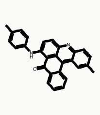 Cc1ccc(Nc2ccc3nc4ccc(C)cc4c4c3c2C(=O)c2ccccc2-4)cc1